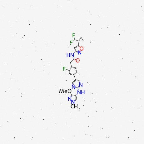 COc1nn(C)cc1Nc1ncc(-c2ccc(CC(=O)Nc3cc(C4(C(F)F)CC4)on3)c(F)c2)cn1